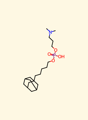 CN(C)CCCOP(=O)(O)OCCCCCC12CC3CC(CC(C3)C1)C2